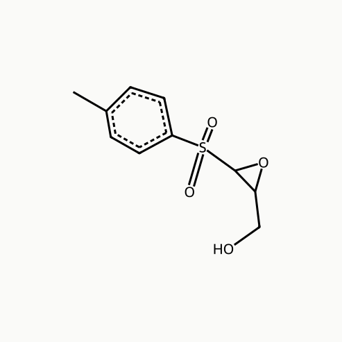 Cc1ccc(S(=O)(=O)C2OC2CO)cc1